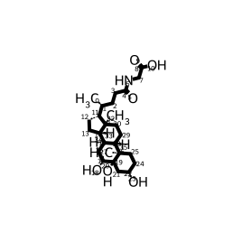 C[C@H](CCC(=O)NCC(=O)O)[C@H]1CC[C@H]2[C@@H]3C[C@@H](O)[C@@]4(O)C[C@@H](O)CC[C@]4(C)[C@H]3CC[C@]12C